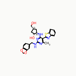 Cc1nc(NCc2ccc3c(c2)OCO3)nc(N[C@@H]2C[C@H](CO)C[C@H]2O)c1-c1nc2ccccc2s1